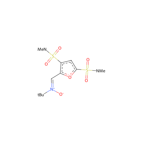 CNS(=O)(=O)c1cc(S(=O)(=O)NC)c(C=[N+]([O-])C(C)(C)C)o1